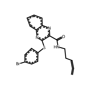 C=C=CCCNC(=O)c1nc2ccccc2nc1Sc1ccc(Br)cc1